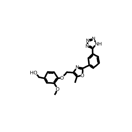 COc1cc(CO)ccc1OCc1nc(-c2cccc(-c3nnn[nH]3)c2)oc1C